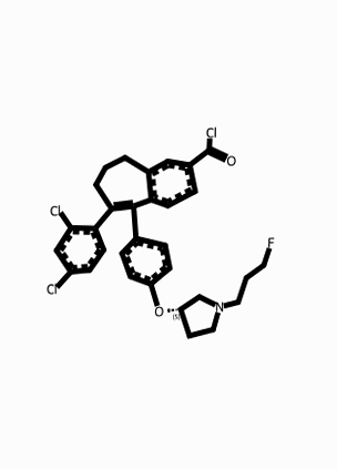 O=C(Cl)c1ccc2c(c1)CCCC(c1ccc(Cl)cc1Cl)=C2c1ccc(O[C@H]2CCN(CCCF)C2)cc1